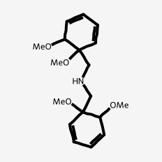 COC1C=CC=CC1(CNCC1(OC)C=CC=CC1OC)OC